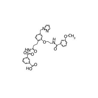 COc1cccc(C(=O)NCCOc2cc(Cn3cccn3)ccc2CCC(=O)NS(=O)(=O)c2cccc(C(=O)O)c2)c1